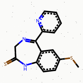 CSc1ccc2c(c1)C(c1ccccn1)=NCC(=S)N2